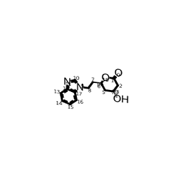 O=C1C[C@H](O)C[C@@H](CCn2cnc3ccccc32)O1